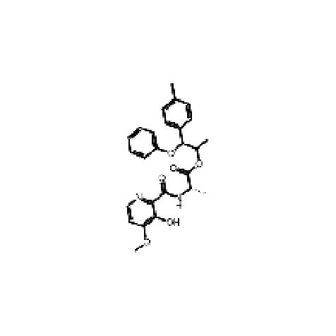 COc1ccnc(C(=O)N[C@@H](C)C(=O)OC(C)C(Oc2ccccc2)c2ccc(C)cc2)c1O